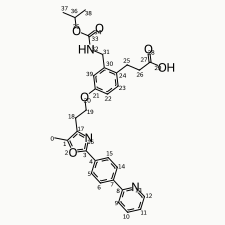 Cc1oc(-c2ccc(-c3ccccn3)cc2)nc1CCOc1ccc(CCC(=O)O)c(CNC(=O)OC(C)C)c1